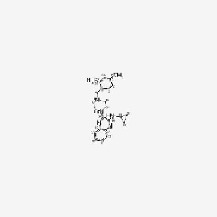 Cc1ccc(CN2CCN(c3nc4ccccc4nc3NC3CC3)CC2)c(C)c1